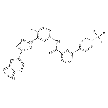 Cc1ccc(NC(=O)c2cccc(-c3ccc(C(F)(F)F)cc3)c2)cc1-n1cc(-c2cnc3[nH]ccc3c2)cn1